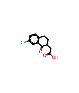 O=C(O)CC1CCc2ccc(Cl)cc2C1=O